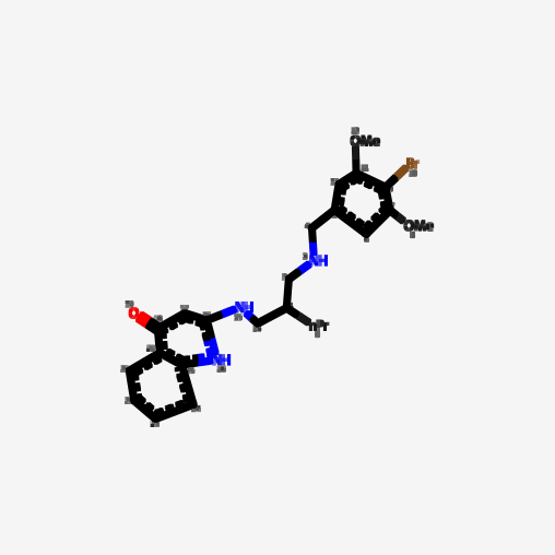 CCCC(CNCc1cc(OC)c(Br)c(OC)c1)CNc1cc(=O)c2ccccc2[nH]1